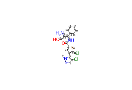 Cn1ncc(Cl)c1-c1cc(C(=O)N[C@@H](c2ccccc2)[C@H](N)CO)sc1Cl